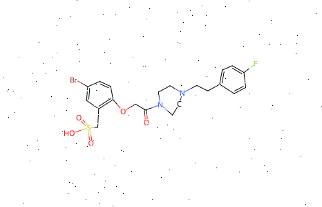 O=C(COc1ccc(Br)cc1CS(=O)(=O)O)N1CCN(CCc2ccc(F)cc2)CC1